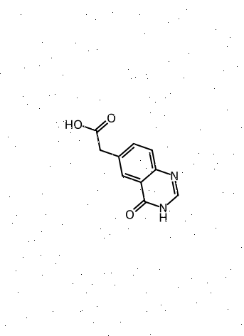 O=C(O)Cc1ccc2nc[nH]c(=O)c2c1